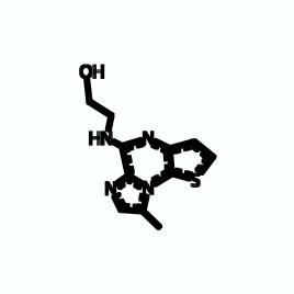 Cc1cnc2c(NCCO)nc3ccsc3n12